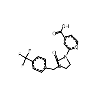 O=C(O)c1ccnc(N2CCN(Cc3ccc(C(F)(F)F)cc3)C2=O)c1